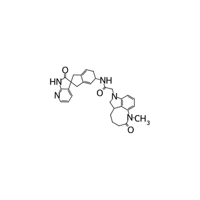 CN1C(=O)CCCC2CN(CC(=O)NC3C=C4CC5(CC4=CC3)C(=O)Nc3ncccc35)c3cccc1c32